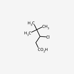 CC(C)(C)C(Cl)CC(=O)O